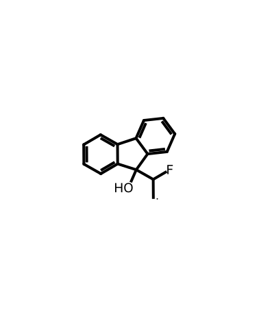 [CH2]C(F)C1(O)c2ccccc2-c2ccccc21